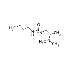 CCCCNC(=O)NCC(C)N(C)C